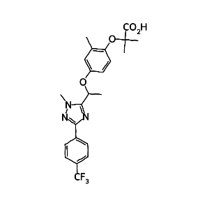 Cc1cc(OC(C)c2nc(-c3ccc(C(F)(F)F)cc3)nn2C)ccc1OC(C)(C)C(=O)O